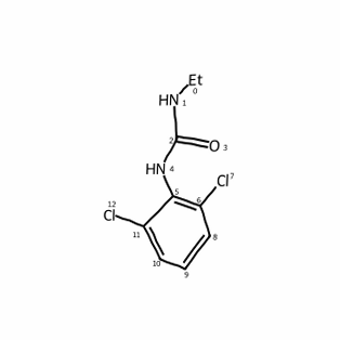 CCNC(=O)Nc1c(Cl)cccc1Cl